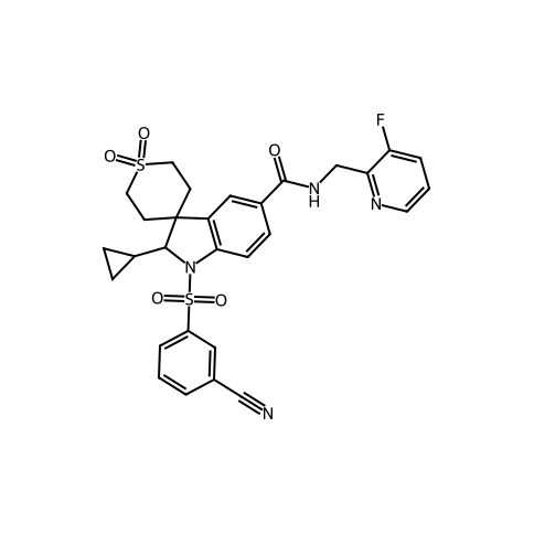 N#Cc1cccc(S(=O)(=O)N2c3ccc(C(=O)NCc4ncccc4F)cc3C3(CCS(=O)(=O)CC3)C2C2CC2)c1